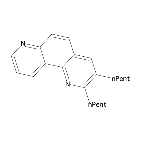 CCCCCc1cc2ccc3ncccc3c2nc1CCCCC